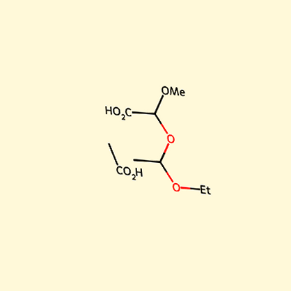 CC(=O)O.CCOC(C)OC(OC)C(=O)O